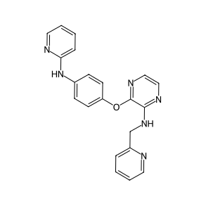 c1ccc(CNc2nccnc2Oc2ccc(Nc3ccccn3)cc2)nc1